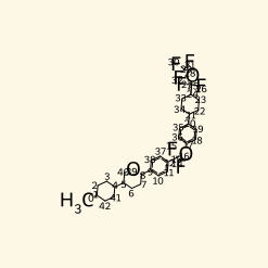 CC1CCC(C2CCC(c3ccc(C(F)(F)Oc4ccc(C5CCC(C(F)(F)OC(F)(F)F)CC5)cc4)cc3)OC2)CC1